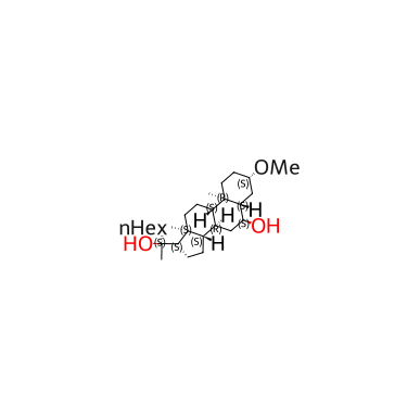 CCCCCC[C@](C)(O)[C@H]1CC[C@H]2[C@@H]3C[C@H](O)[C@H]4C[C@@H](OC)CC[C@]4(C)[C@H]3CC[C@@]21C